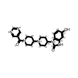 O=C(c1cncnc1)N1CCC(N2CCC(n3c(=O)[nH]c4cc(O)ccc43)CC2)CC1